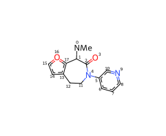 CNC1C(=O)N(c2cccnc2)CCc2ccoc21